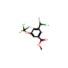 COC(=O)c1cc(OC(F)(F)F)cc(C(F)F)c1